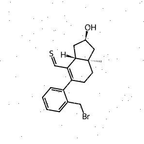 C[C@]12CCC(c3ccccc3CBr)=C(C=S)[C@@H]1C[C@@H](O)C2